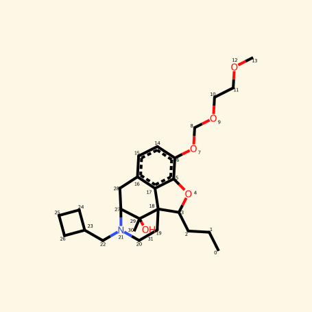 CCCC1Oc2c(OCOCCOC)ccc3c2C12CCN(CC1CCC1)C(C3)C2(C)O